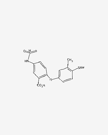 CSc1ccc(Oc2ccc(N[SH](=O)=O)cc2C(=O)O)cc1C